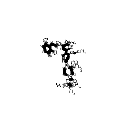 CCOc1cc(N2CCN(C(=O)OC(C)(C)C)C[C@@H]2C)ncc1-c1cnc(N)c(OCCc2c(Cl)ccc(F)c2Cl)c1